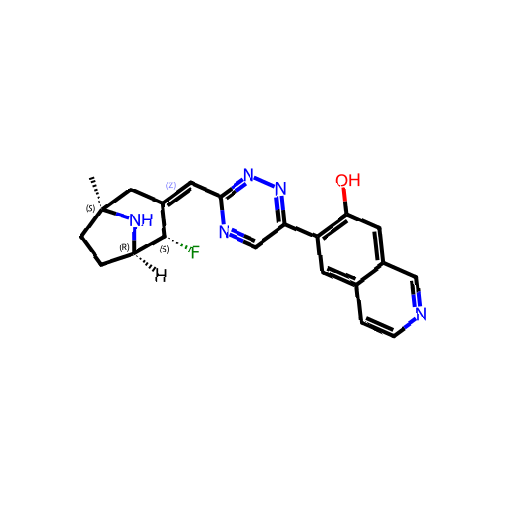 C[C@@]12CC[C@@H](N1)[C@@H](F)/C(=C\c1ncc(-c3cc4ccncc4cc3O)nn1)C2